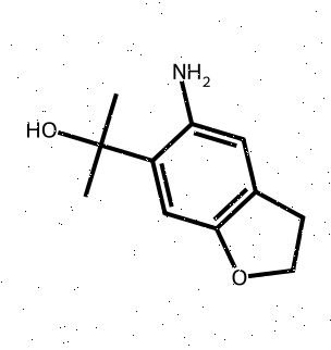 CC(C)(O)c1cc2c(cc1N)CCO2